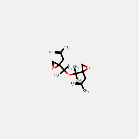 C=C(C)CC1(C(C)(C)OC(C)(C)C2(CC(=C)C)CO2)CO1